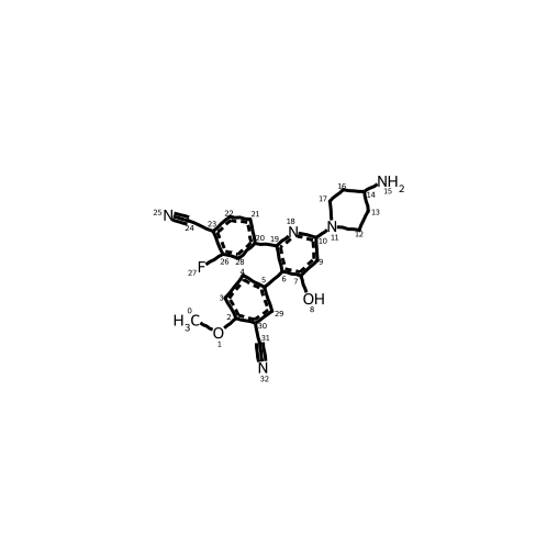 COc1ccc(-c2c(O)cc(N3CCC(N)CC3)nc2-c2ccc(C#N)c(F)c2)cc1C#N